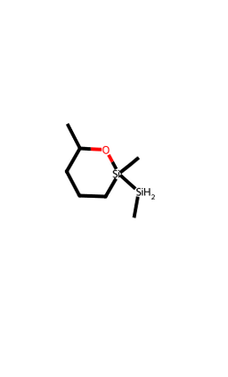 C[SiH2][Si]1(C)CCCC(C)O1